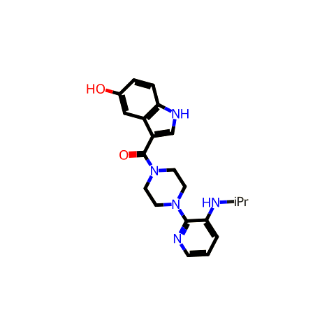 CC(C)Nc1cccnc1N1CCN(C(=O)c2c[nH]c3ccc(O)cc23)CC1